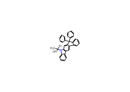 CCCC(C)(CC)n1c2ccccc2c2cc3c(cc21)C(c1ccccc1)(c1ccccc1)c1ccccc1-3